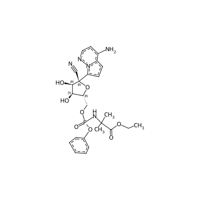 CCOC(=O)C(C)(C)NP(=O)(OC[C@H]1O[C@@](C#N)(c2ccc3c(N)ccnn23)[C@H](O)[C@@H]1O)Oc1ccccc1